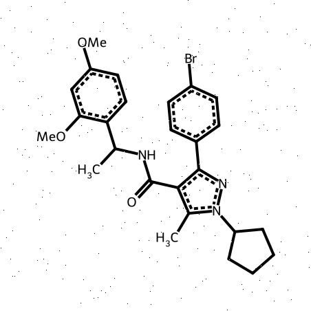 COc1ccc(C(C)NC(=O)c2c(-c3ccc(Br)cc3)nn(C3CCCC3)c2C)c(OC)c1